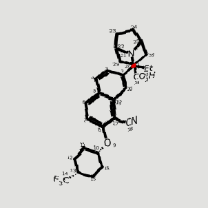 CCC(c1ccc2ccc(O[C@H]3CC[C@@H](C(F)(F)F)CC3)c(C#N)c2c1)N1C2CCC1CC(C(=O)O)C2